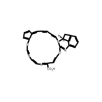 O=C(O)c1ccoc2n(cccccc3c(ocnccn1)=CC=C3)[C@@H]1Cc3cccc(c31)N=2